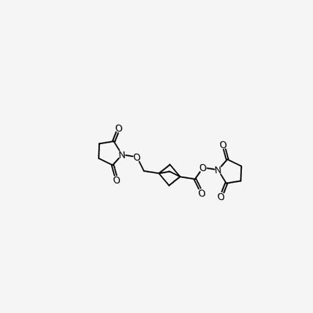 O=C1CCC(=O)N1OCC12CC(C(=O)ON3C(=O)CCC3=O)(C1)C2